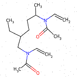 C=CN(CC(CC)CCC(C)N(C=C)C(C)=O)C(C)=O